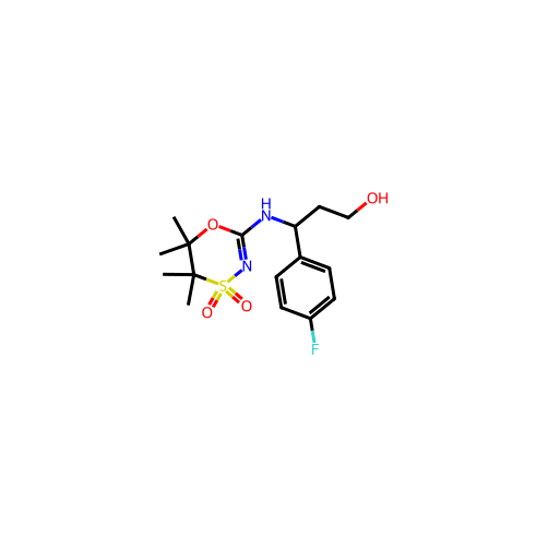 CC1(C)OC(NC(CCO)c2ccc(F)cc2)=NS(=O)(=O)C1(C)C